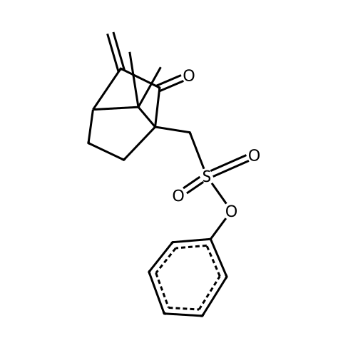 C=C1C(=O)C2(CS(=O)(=O)Oc3ccccc3)CCC1C2(C)C